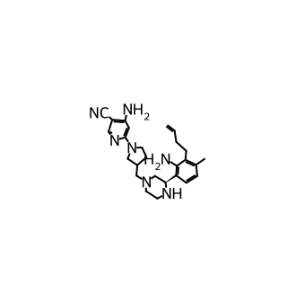 C=CCCc1c(C)ccc([C@@H]2CN(CC3CCN(c4cc(N)c(C#N)cn4)C3)CCN2)c1N